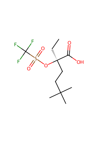 CC[C@](CCC(C)(C)C)(OS(=O)(=O)C(F)(F)F)C(=O)O